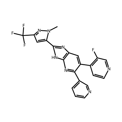 Cn1nc(C(F)(F)F)cc1-c1nc2cc(-c3ccncc3F)c(-c3cccnc3)nc2[nH]1